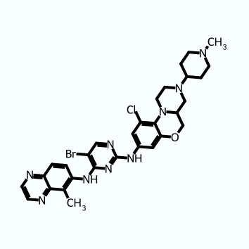 Cc1c(Nc2nc(Nc3cc(Cl)c4c(c3)OCC3CN(C5CCN(C)CC5)CCN43)ncc2Br)ccc2nccnc12